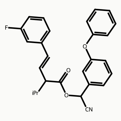 CC(C)C(/C=C/c1cccc(F)c1)C(=O)OC(C#N)c1cccc(Oc2ccccc2)c1